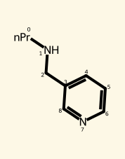 [CH2]CCNCc1cccnc1